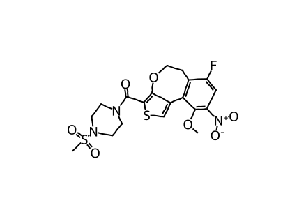 COc1c([N+](=O)[O-])cc(F)c2c1-c1csc(C(=O)N3CCN(S(C)(=O)=O)CC3)c1OCC2